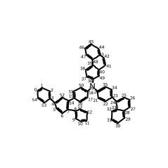 c1ccc(-c2ccc(-c3ccccc3)c(-c3ccc(N(c4ccc(-c5cccc6ccccc56)cc4)c4ccc5c(ccc6ccccc65)c4)cc3)c2)cc1